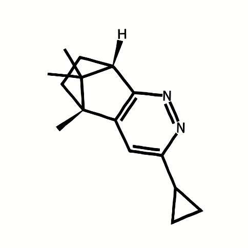 CC1(C)[C@@H]2CC[C@@]1(C)c1cc(C3CC3)nnc12